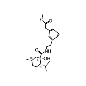 COC(=O)Cc1cccc(CCNC(=O)[C@]2(O)C[C@H](C)CC[C@H]2C(C)C)c1